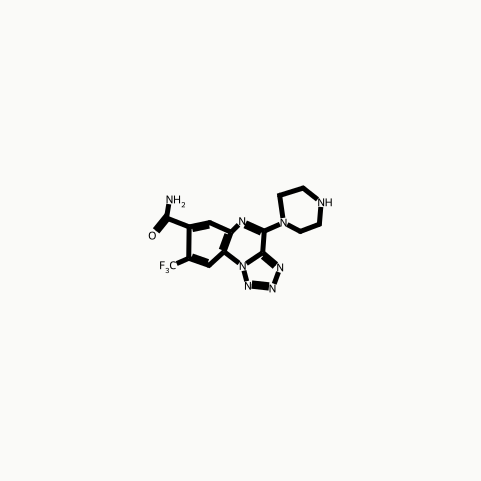 NC(=O)c1cc2nc(N3CCNCC3)c3nnnn3c2cc1C(F)(F)F